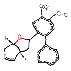 O=Cc1cc(-c2ccccc2)c(C2C[C@@H]3C=CC[C@@H]3O2)cc1C(=O)O